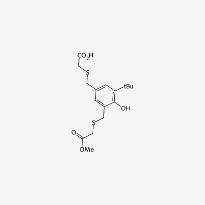 COC(=O)CSCc1cc(CSCC(=O)O)cc(C(C)(C)C)c1O